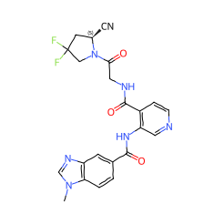 Cn1cnc2cc(C(=O)Nc3cnccc3C(=O)NCC(=O)N3CC(F)(F)C[C@H]3C#N)ccc21